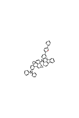 CC12C3=C(C=CCC3N(c3ccc4c5c3C3CC3C=C5c3cc(N(c5ccccc5)c5ccccc5)ccc3O4)c3ccc(-c4ccc(-c5ccccc5)cc4)cc31)c1ccccc12